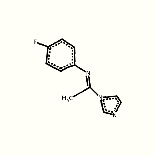 C/C(=N\c1ccc(F)cc1)n1ccnc1